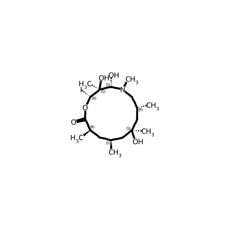 C[C@H]1C[C@@H](C)C(=O)O[C@H](I)[C@@](C)(O)[C@H](O)N(C)C[C@H](C)C[C@@](C)(O)C1